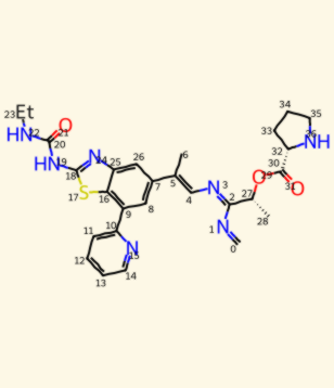 C=N/C(=N\C=C(/C)c1cc(-c2ccccn2)c2sc(NC(=O)NCC)nc2c1)[C@@H](C)OC(=O)[C@@H]1CCCN1